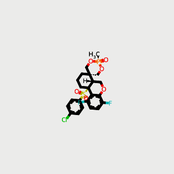 C[P@]1(=O)OC[C@]2(CCC[C@@]3(S(=O)(=O)c4ccc(Cl)cc4)c4c(F)ccc(F)c4OC[C@@H]23)CO1